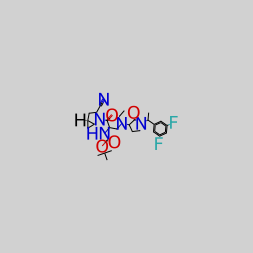 CCN(CC(NC(=O)OC(C)(C)C)C(=O)N1C(C#N)C[C@@H]2CC21)C1CCN(C(C)c2cc(F)cc(F)c2)C1=O